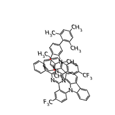 Cc1cc(C)c(-c2ccc3c4ccccc4n(-c4ccc(C(F)(F)F)cc4-c4nc(-c5ccccc5)nc(-c5cc(C(F)(F)F)ccc5-n5c6ccccc6c6ccc(-c7c(C)cc(C)cc7C)cc65)n4)c3c2)c(C)c1